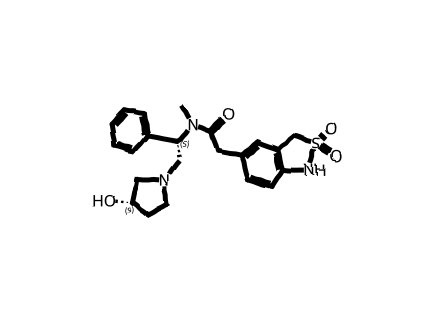 CN(C(=O)Cc1ccc2c(c1)CS(=O)(=O)N2)[C@H](CN1CC[C@H](O)C1)c1ccccc1